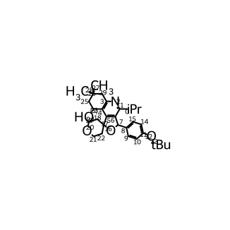 CC(C)c1nc2c(c3c1C(c1ccc(OC(C)(C)C)cc1)OC31CCOCC1)[C@@H](O)CC(C)(C)C2